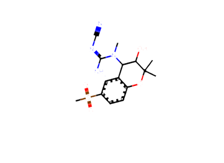 CN(/C(N)=N\C#N)C1c2cc(S(C)(=O)=O)ccc2OC(C)(C)C1O